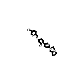 O=c1cc(OCc2ccc(Cl)cn2)ccn1-c1ccc(N2CCN3CCCC3C2)nc1